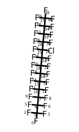 FC(F)(F)C(F)(F)C(F)(F)C(F)(F)C(F)(F)C(F)(F)C(F)(F)C(F)(F)C(F)(Cl)C(F)(F)C(F)(F)C(F)(F)C(F)(F)F